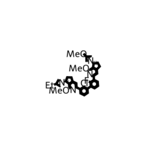 CCC1CN([C@H]2CCc3cc(-c4cccc(-c5cccc(-c6cc7c(c(OC)n6)[C@@H](N6CC(OC)C6)CC7)c5F)c4Cl)nc(OC)c32)C1